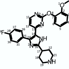 COc1ccccc1Oc1nccc(-c2[nH]c(C3CCNCC3)nc2-c2ccc(F)cc2)n1